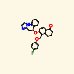 O=C1CCCc2c1ccc(O[C@@H](Cc1ncc[nH]1)c1ccccc1)c2COc1ccc(F)cc1